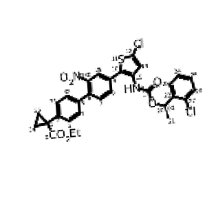 CCOC(=O)C1(c2ccc(-c3ccc(-c4sc(Cl)cc4NC(=O)O[C@H](C)c4ccccc4Cl)cc3[N+](=O)[O-])cc2)CC1